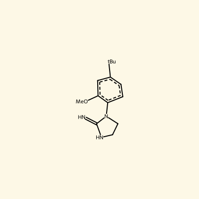 COc1cc(C(C)(C)C)ccc1N1CCNC1=N